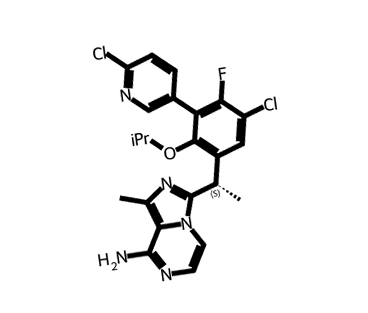 Cc1nc([C@@H](C)c2cc(Cl)c(F)c(-c3ccc(Cl)nc3)c2OC(C)C)n2ccnc(N)c12